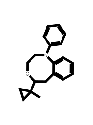 CC1(C2Cc3ccccc3N(c3ccccc3)CCO2)CC1